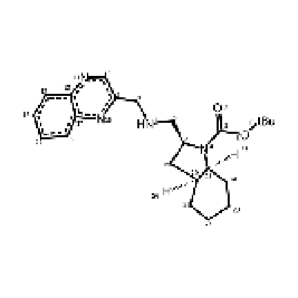 CC(C)(C)OC(=O)N1[C@H](CNCc2cnc3ccccc3n2)C[C@@H]2CCCC[C@@H]21